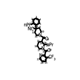 CCCc1ccccc1C1(C#N)CCN(C(=O)C2CCCN(C(=O)c3ncccc3C(F)(F)F)C2CCC)CC1